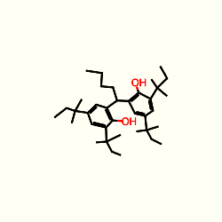 CCCCC(c1cc(C(C)(C)CC)cc(C(C)(C)CC)c1O)c1cc(C(C)(C)CC)cc(C(C)(C)CC)c1O